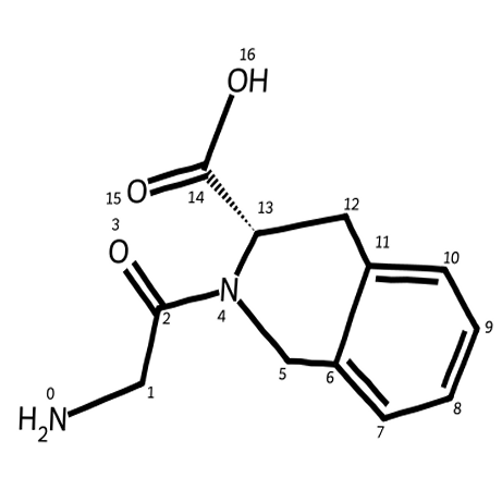 NCC(=O)N1Cc2ccccc2C[C@H]1C(=O)O